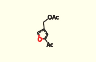 CC(=O)OCc1coc(C(C)=O)c1